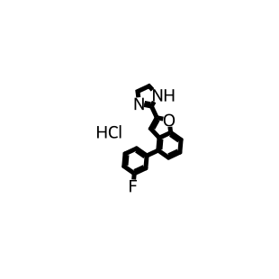 Cl.Fc1cccc(-c2cccc3oc(C4=NCCN4)cc23)c1